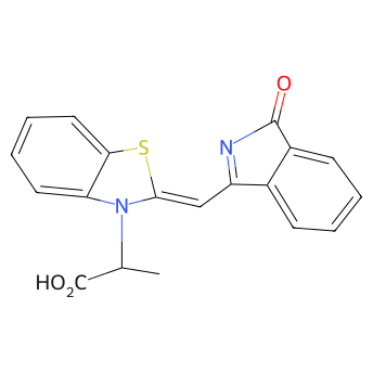 CC(C(=O)O)N1/C(=C/C2=NC(=O)c3ccccc32)Sc2ccccc21